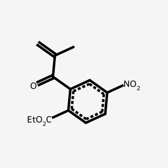 C=C(C)C(=O)c1cc([N+](=O)[O-])ccc1C(=O)OCC